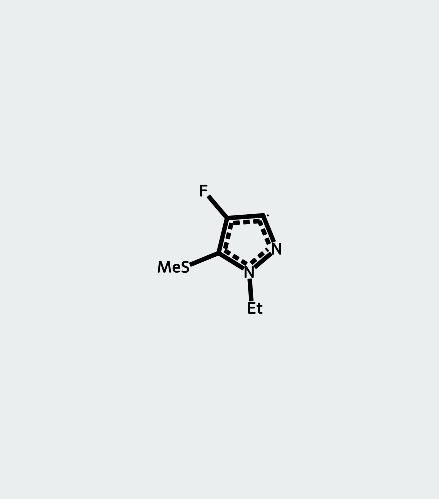 CCn1n[c]c(F)c1SC